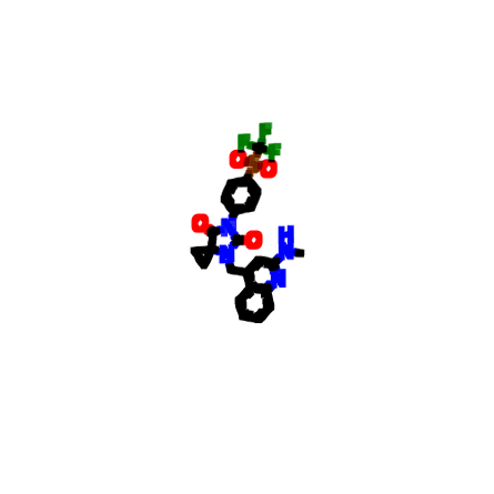 CNc1cc(CN2C(=O)N(c3ccc(S(=O)(=O)C(F)(F)F)cc3)C(=O)C23CC3)c2ccccc2n1